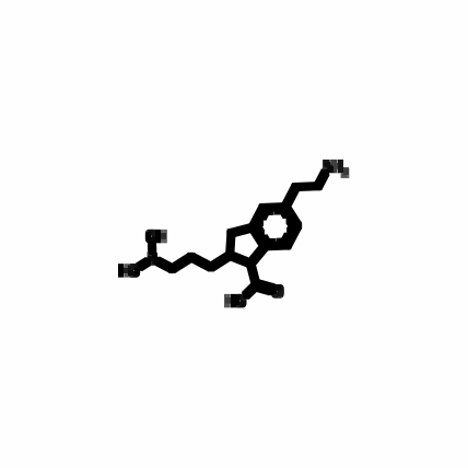 NCCc1ccc2c(c1)CC(CCCB(O)O)C2C(=O)O